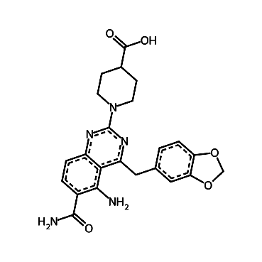 NC(=O)c1ccc2nc(N3CCC(C(=O)O)CC3)nc(Cc3ccc4c(c3)OCO4)c2c1N